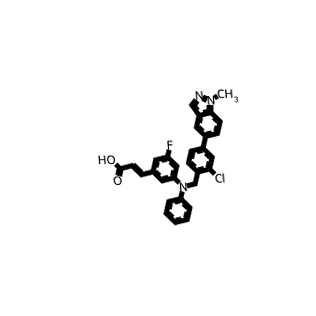 Cn1ncc2cc(-c3ccc(CN(c4ccccc4)c4cc(F)cc(/C=C/C(=O)O)c4)c(Cl)c3)ccc21